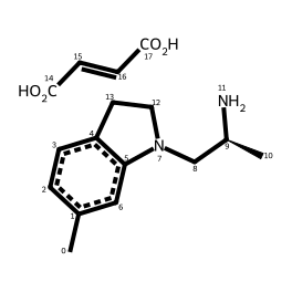 Cc1ccc2c(c1)N(C[C@H](C)N)CC2.O=C(O)/C=C/C(=O)O